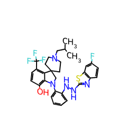 CC(C)CN1CCC2(CC1)CN(c1ccccc1NNc1nc3ccc(F)cc3s1)c1c(O)ccc(C(F)(F)F)c12